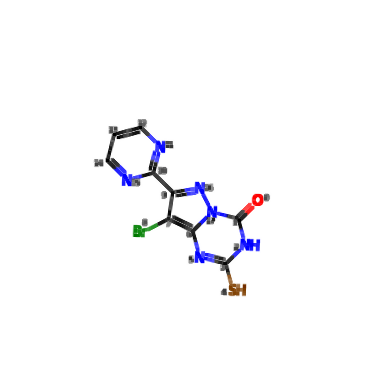 O=c1[nH]c(S)nc2c(Br)c(-c3ncccn3)nn12